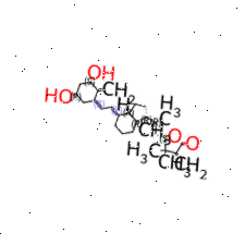 C=C1/C(=C\C=C2/CCC[C@]3(C)[C@@H]([C@H](C)C[C@@H]4OC(=O)C(=C)C4(C)C)CC[C@@H]23)C[C@@H](O)C[C@@H]1O